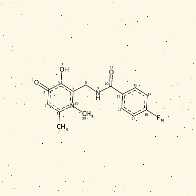 Cc1cc(=O)c(O)c(CNC(=O)c2ccc(F)cc2)n1C